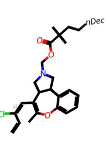 C=C/C(Cl)=C\C1=C(C)Oc2ccccc2C2CN(COC(=O)C(C)(C)CCCCCCCCCCCC)CC12